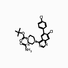 CC(C)(C)OC(=O)N1CCN(c2ncnc3cc(Cl)c(-c4ccc(Cl)cc4)cc23)C[C@@H]1C(N)=O